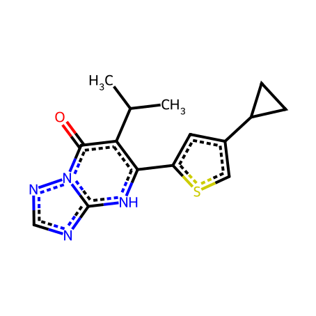 CC(C)c1c(-c2cc(C3CC3)cs2)[nH]c2ncnn2c1=O